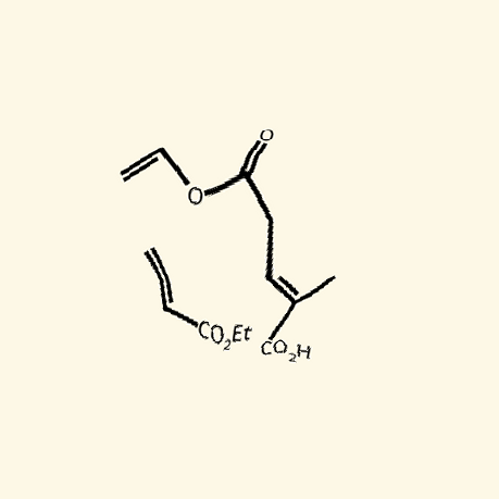 C=CC(=O)OCC.C=COC(=O)CC=C(C)C(=O)O